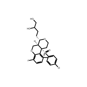 O=S(=O)(c1ccc(Cl)cc1)[C@@]12CCO[C@@H](CCC(O)CO)[C@@H]1COc1c(F)ccc(F)c12